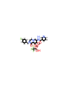 O=C(Nc1cn2ccn(Cc3ccc(F)cc3)c(=O)c2c(O)c1=O)c1cccnc1.O=C(O)C(F)(F)F